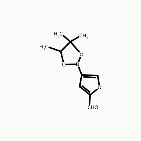 CC1OB(c2coc(C=O)c2)OC1(C)C